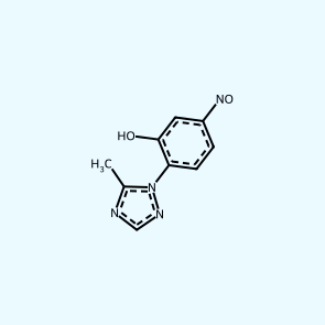 Cc1ncnn1-c1ccc(N=O)cc1O